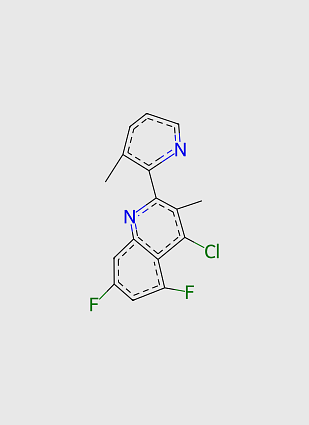 Cc1cccnc1-c1nc2cc(F)cc(F)c2c(Cl)c1C